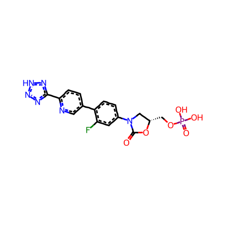 O=C1O[C@@H](COP(=O)(O)O)CN1c1ccc(-c2ccc(-c3nn[nH]n3)nc2)c(F)c1